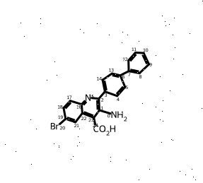 Nc1c(-c2ccc(-c3ccccc3)cc2)nc2ccc(Br)cc2c1C(=O)O